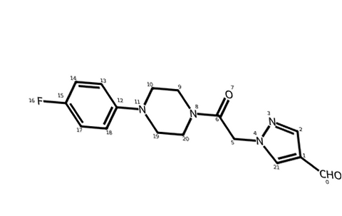 O=Cc1cnn(CC(=O)N2CCN(c3ccc(F)cc3)CC2)c1